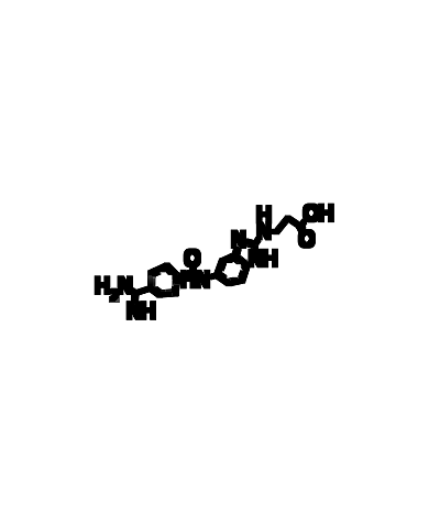 N=C(N)c1ccc(C(=O)Nc2ccc3[nH]c(NCCC(=O)O)nc3c2)cc1